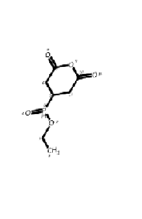 CCO[PH](=O)C1CC(=O)OC(=O)C1